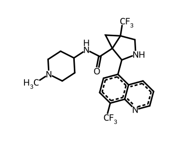 CN1CCC(NC(=O)C23CC2(C(F)(F)F)CNC3c2ccc(C(F)(F)F)c3ncccc23)CC1